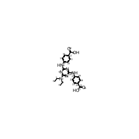 CCN(CC)c1nc(Nc2ccc(C(=O)O)cc2)nc(Nc2ccc(C(=O)O)cc2)n1